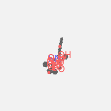 C=CCO[C@@H]1[C@@H](NC(=O)C[C@H](O)CCCCCCCCCCC)[C@H](OCc2ccccc2)O[C@H](COC(C)=O)[C@H]1O[C@@H]1O[C@H](COC(C)=O)[C@@H](OCc2ccccc2)[C@H](OCc2ccccc2)[C@@H]1OCc1ccccc1